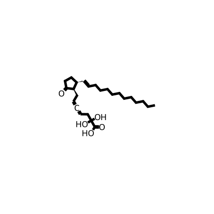 CCCCCCCCCCCC=C[C@H]1CCC(=O)[C@@H]1CC=C=CCC(O)(O)C(=O)O